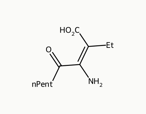 CCCCCC(=O)C(N)=C(CC)C(=O)O